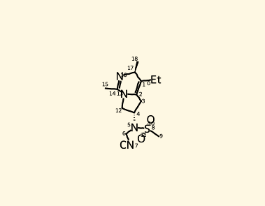 CCC1=C2C[C@H](N(CC#N)S(C)(=O)=O)CN2C(C)=N[C@H]1C